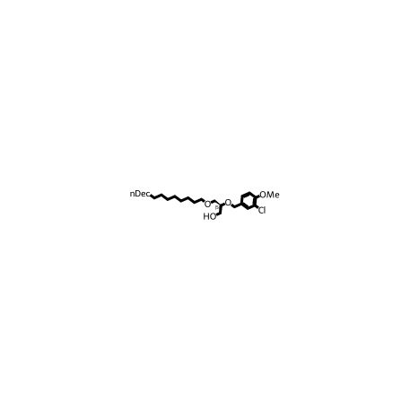 CCCCCCCCCCCCCCCCCCOC[C@H](CO)OCc1ccc(OC)c(Cl)c1